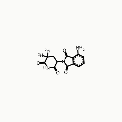 [2H]C1([2H])CC(N2C(=O)c3cccc(N)c3C2=O)C(=O)NC1=O